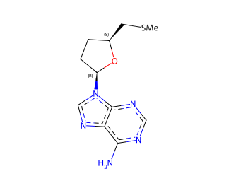 CSC[C@@H]1CC[C@H](n2cnc3c(N)ncnc32)O1